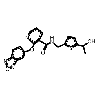 CC(O)c1ccc(CNC(=O)c2cccnc2Oc2ccc3nonc3c2)s1